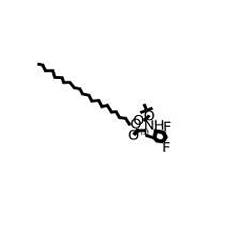 CCCCCCCCCCCCCCCCCCCCCOC(=O)[C@H](Cc1cc(F)cc(F)c1)NC(=O)OC(C)(C)C